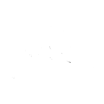 CCCCN(CCCN(C)C)C(=O)CN1C[C@H](c2ccc3c(c2)CCO3)[C@@H](C(=O)O)[C@@H]1CC(C)(C)C1OCCO1